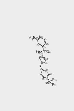 O=C(Nc1ncc(Cc2ccc(C(F)(F)F)cc2)s1)c1ccnc(P)c1